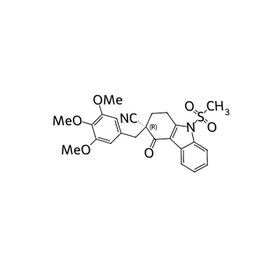 COc1cc(C[C@@]2(C#N)CCc3c(c4ccccc4n3S(C)(=O)=O)C2=O)cc(OC)c1OC